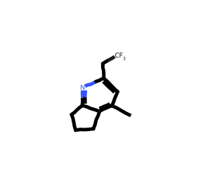 Cc1cc(CC(F)(F)F)nc2c1CCC2